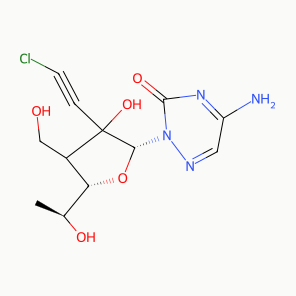 C[C@H](O)[C@H]1O[C@@H](n2ncc(N)nc2=O)C(O)(C#CCl)C1CO